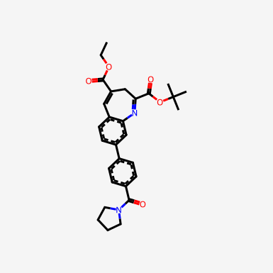 CCOC(=O)C1=Cc2ccc(-c3ccc(C(=O)N4CCCC4)cc3)cc2N=C(C(=O)OC(C)(C)C)C1